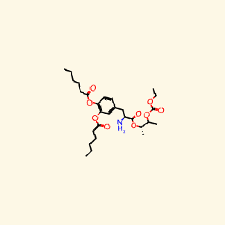 CCCCCC(=O)Oc1ccc(C[C@H](N)C(=O)O[C@@H](C)C(C)OC(=O)OCC)cc1OC(=O)CCCCC